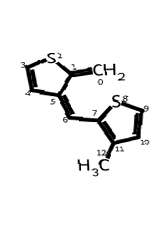 C=c1scc/c1=C/c1sccc1C